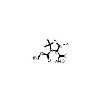 COC(=O)[C@@H]1[C@@H](C(C)C)OC(C)(C)N1C(=O)OC(C)(C)C